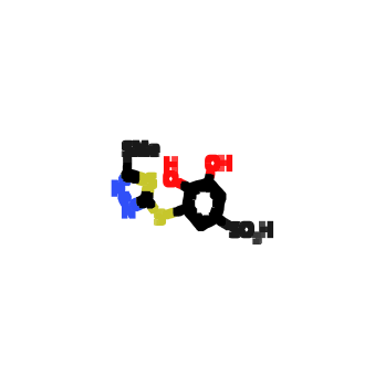 CSc1nnc(Sc2cc(S(=O)(=O)O)cc(O)c2O)s1